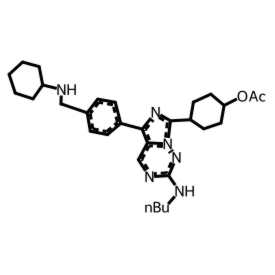 CCCCNc1ncc2c(-c3ccc(CNC4CCCCC4)cc3)nc(C3CCC(OC(C)=O)CC3)n2n1